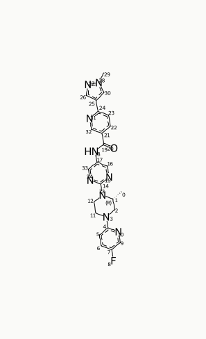 C[C@@H]1CN(c2ccc(F)cn2)CCN1c1ncc(NC(=O)c2ccc(-c3cnn(C)c3)nc2)cn1